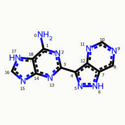 Nc1nc(-c2n[nH]c3cncnc23)nc2nc[nH]c12